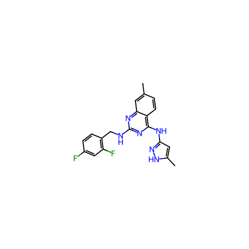 Cc1ccc2c(Nc3cc(C)[nH]n3)nc(NCc3ccc(F)cc3F)nc2c1